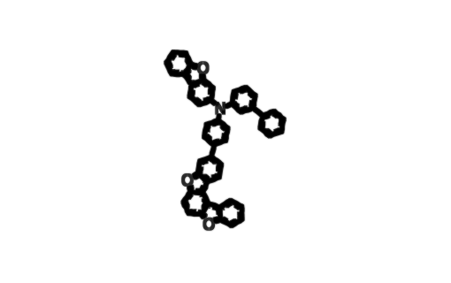 c1ccc(-c2cccc(N(c3ccc(-c4ccc5c(c4)oc4ccc6oc7ccccc7c6c45)cc3)c3ccc4c(c3)oc3ccccc34)c2)cc1